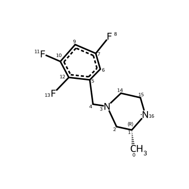 C[C@@H]1CN(Cc2cc(F)cc(F)c2F)CC[N]1